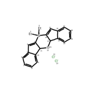 CC[Si]1(CC)C2=Cc3ccccc3[CH]2[Ti+2][CH]2C1=Cc1ccccc12.[Cl-].[Cl-]